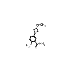 CNC1CN(c2ccc(C)c(C(N)=O)c2)C1